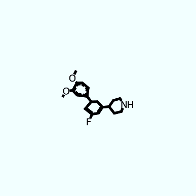 COc1ccc(C2C=C(F)C=C(C3CCNCC3)C2)cc1OC